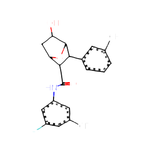 O=C(Nc1cc(F)cc(C(F)(F)F)c1)C1C2CC(O)C(O2)C1c1cccc(C(F)(F)F)c1